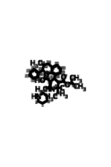 C1CCNCC1.CCC1(C)NC(C)=C(C(=O)O)C(c2cccc3c2OC(c2ccccc2)C(C)C3)C1C(=O)OC(C)C